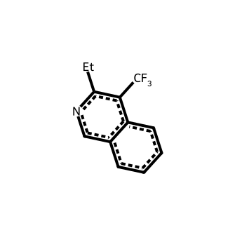 CCc1ncc2ccccc2c1C(F)(F)F